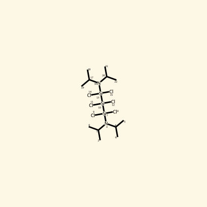 CC(C)N(C(C)C)[Si](Cl)(Cl)[Si](Cl)(Cl)[Si](Cl)(Cl)N(C(C)C)C(C)C